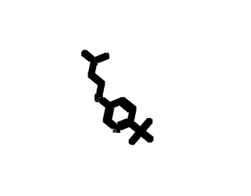 CN(C)CCOc1ccc(C(C)(C)C)nc1